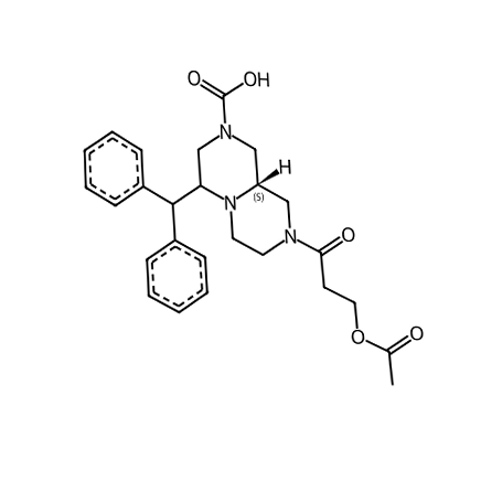 CC(=O)OCCC(=O)N1CCN2C(C(c3ccccc3)c3ccccc3)CN(C(=O)O)C[C@@H]2C1